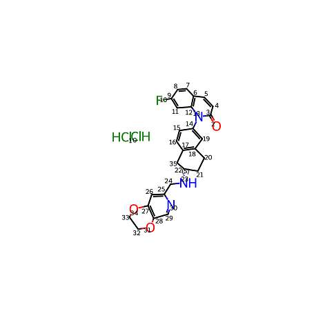 Cl.Cl.O=c1ccc2ccc(F)cc2n1-c1ccc2c(c1)CC[C@H](NCc1cc3c(cn1)OCCO3)C2